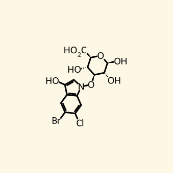 O=C(O)[C@H]1O[C@@H](O)[C@H](O)[C@@H](On2cc(O)c3cc(Br)c(Cl)cc32)[C@@H]1O